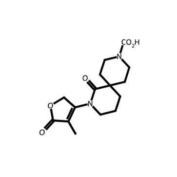 CC1=C(N2CCCC3(CCN(C(=O)O)CC3)C2=O)COC1=O